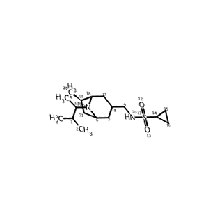 CC(C)C(C)N1C2CC(CNS(=O)(=O)C3CC3)CC1[C@H](C)C2